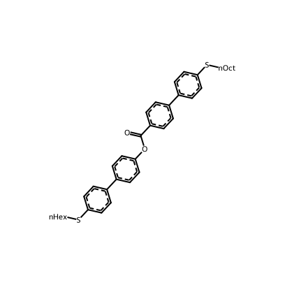 CCCCCCCCSc1ccc(-c2ccc(C(=O)Oc3ccc(-c4ccc(SCCCCCC)cc4)cc3)cc2)cc1